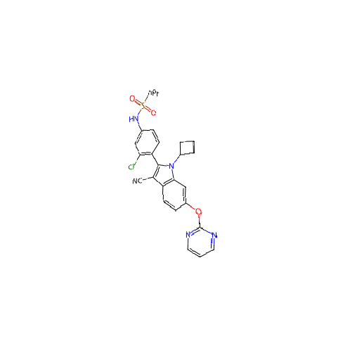 CCCS(=O)(=O)Nc1ccc(-c2c(C#N)c3ccc(Oc4ncccn4)cc3n2C2CCC2)c(Cl)c1